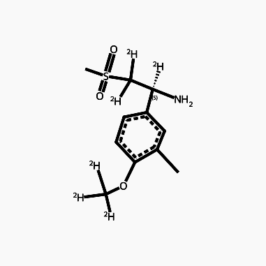 [2H]C([2H])([2H])Oc1ccc([C@]([2H])(N)C([2H])([2H])S(C)(=O)=O)cc1C